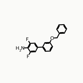 Nc1c(F)cc(-c2cccc(OCc3ccccc3)c2)cc1F